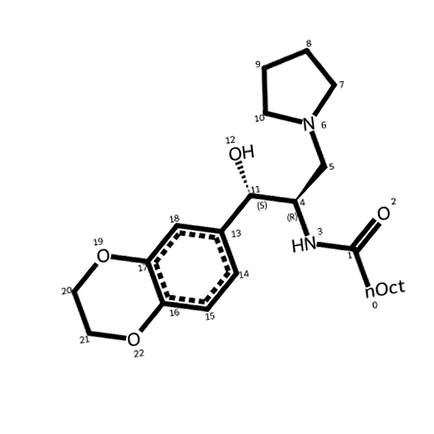 CCCCCCCCC(=O)N[C@H](CN1CCCC1)[C@@H](O)c1ccc2c(c1)OCCO2